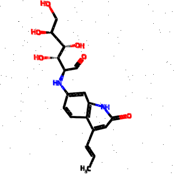 CC=Cc1cc(=O)[nH]c2cc(N[C@H](C=O)[C@H](O)[C@@H](O)[C@@H](O)CO)ccc12